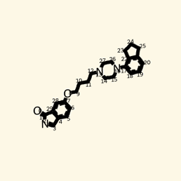 O=C1N=Cc2ccc(OCCCCN3CCN(c4cccc5c4CCC5)CC3)cc21